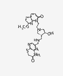 COc1ccc2ccc(=O)n(CCN3CC(O)C(CNCc4cnc5c(n4)NC(=O)CS5)C3)c2n1